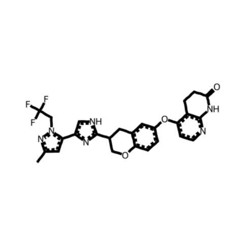 Cc1cc(-c2c[nH]c(C3COc4ccc(Oc5ccnc6c5CCC(=O)N6)cc4C3)n2)n(CC(F)(F)F)n1